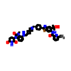 Cn1c(=O)n(C2CCC(=O)NC2=O)c2cccc(NCC3CC4(C3)CN(C[C@H]3CC[C@H](c5nc6cc(C(C)(C)O)c(NC(=O)c7cccc(C(F)(F)F)n7)cc6s5)CC3)C4)c21